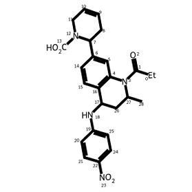 CCC(=O)N1c2cc(C3CC=CCN3C(=O)O)ccc2C(Nc2ccc([N+](=O)[O-])cc2)CC1C